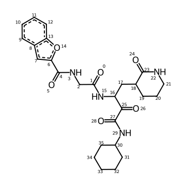 O=C(CNC(=O)c1cc2ccccc2o1)NC(CC1CCCNC1=O)C(=O)C(=O)NC1CCCCC1